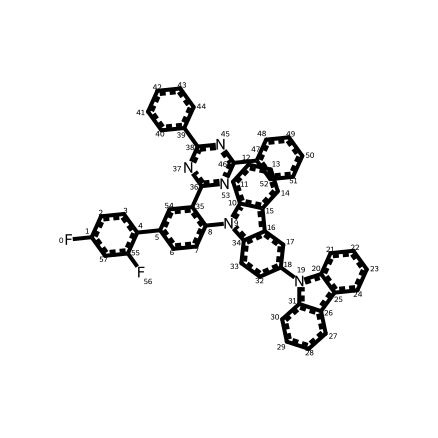 Fc1ccc(-c2ccc(-n3c4ccccc4c4cc(-n5c6ccccc6c6ccccc65)ccc43)c(-c3nc(-c4ccccc4)nc(-c4ccccc4)n3)c2)c(F)c1